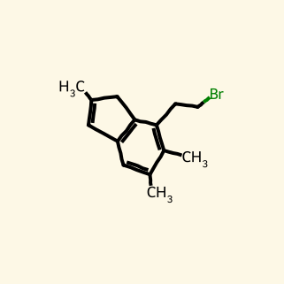 CC1=Cc2cc(C)c(C)c(CCBr)c2C1